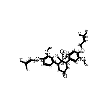 COc1cc(C2CC(=O)CC(c3ccc(OCC=C(C)C)c(OC)c3)C2(C)[N+](=O)[O-])ccc1OCC=C(C)C